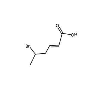 CC(Br)CC=CC(=O)O